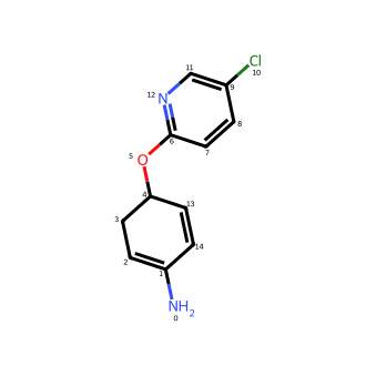 NC1=CCC(Oc2ccc(Cl)cn2)C=C1